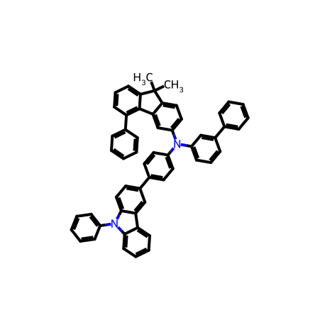 CC1(C)c2ccc(N(c3ccc(-c4ccc5c(c4)c4ccccc4n5-c4ccccc4)cc3)c3cccc(-c4ccccc4)c3)cc2-c2c(-c3ccccc3)cccc21